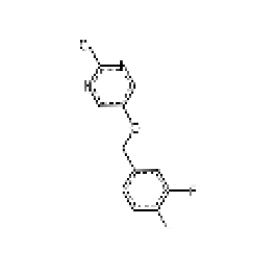 Fc1ccc(COc2cnc(Cl)nc2)cc1F